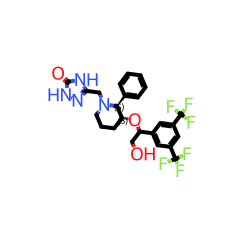 O=c1[nH]nc(CN2CCC[C@H](OC(CO)c3cc(C(F)(F)F)cc(C(F)(F)F)c3)[C@@H]2c2ccccc2)[nH]1